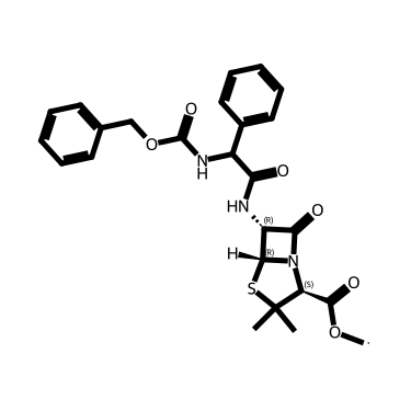 [CH2]OC(=O)[C@@H]1N2C(=O)[C@@H](NC(=O)C(NC(=O)OCc3ccccc3)c3ccccc3)[C@H]2SC1(C)C